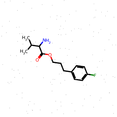 CC(C)C(N)C(=O)OCCCc1ccc(F)cc1